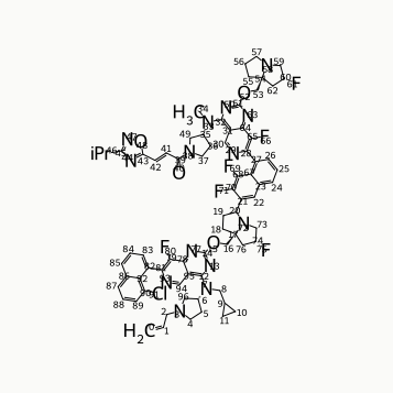 C=CCN1CC[C@@H](N(CC2CC2)c2nc(OC[C@@]34CCC(c5cc6cccc(-c7ncc8c(N(C)[C@@H]9CCN(C(=O)/C=C/c%10nc(C(C)C)no%10)C9)nc(OC[C@@]9%10CCCN9C[C@H](F)C%10)nc8c7F)c6c(F)c5F)N3C[C@H](F)C4)nc3c(F)c(-c4cccc5cccc(Cl)c45)ncc23)C1